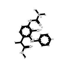 COC(=O)C(C)c1ccc(SC(=O)N(C)C)c(Cl)c1[Se]c1ccccc1